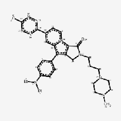 CCN(CC)c1ccc(-c2c3c(n4ccc(-c5nnc(C)nn5)cc24)C(=O)N(CCCN2CCN(C)CC2)C3)cc1